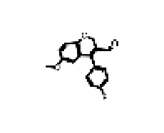 COc1ccc2c(c1)C(c1ccc(F)cc1)=C(C=O)CO2